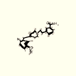 CC(C)Oc1ccc(Br)c(CC2CCN(CCc3cccc(C(N)=O)c3)CC2)c1